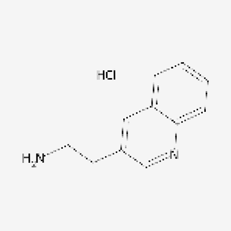 Cl.NCCc1cnc2ccccc2c1